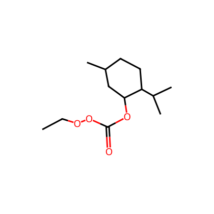 CCOOC(=O)OC1CC(C)CCC1C(C)C